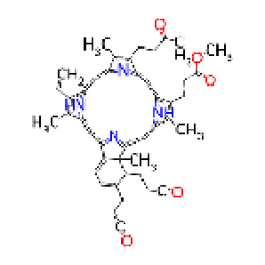 C=Cc1c(C)c2cc3nc(cc4[nH]c(cc5nc(cc1[nH]2)C(C)=C5CCC(C)=O)c(CCC(=O)OC)c4C)C1(C)C3=CC=C(CC=C=O)C1CC=C=O